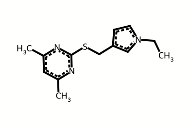 CCn1ccc(CSc2nc(C)cc(C)n2)c1